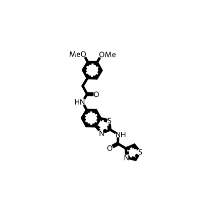 COc1ccc(CC(=O)Nc2ccc3nc(NC(=O)c4cscn4)sc3c2)cc1OC